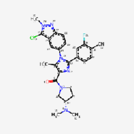 Cc1c(C(=O)N2CC[C@H](N(C)C)C2)nc(-c2ccc(C#N)c(F)c2)n1-c1ccc2nn(C)c(Cl)c2c1